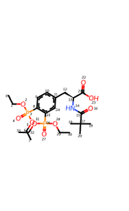 CCOP(=O)(OCC)c1ccc(C[C@H](NC(=O)C(C)(C)C)C(=O)O)cc1P(=O)(OCC)OCC